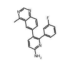 Cc1ncnc2ccc(-c3ccc(N)nc3-c3cccc(F)c3)cc12